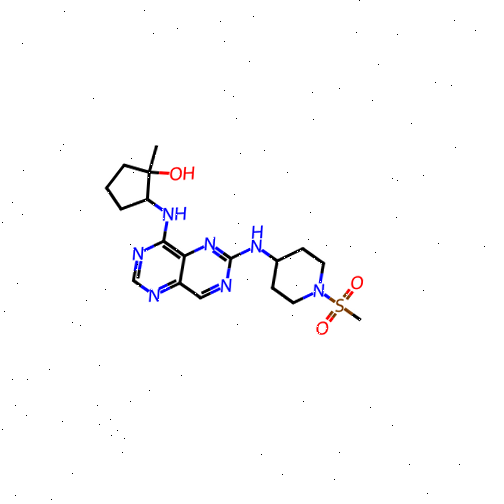 CC1(O)CCCC1Nc1ncnc2cnc(NC3CCN(S(C)(=O)=O)CC3)nc12